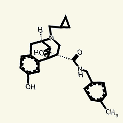 Cc1ccc(CNC(=O)[C@@H]2C[C@]34CCN(CC5CC5)[C@H](Cc5ccc(O)cc53)[C@]4(O)C2)cc1